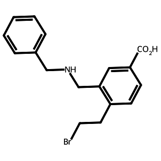 O=C(O)c1ccc(CCBr)c(CNCc2ccccc2)c1